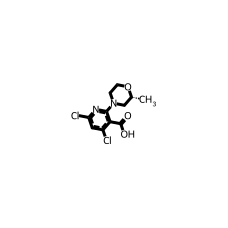 C[C@@H]1CN(c2nc(Cl)cc(Cl)c2C(=O)O)CCO1